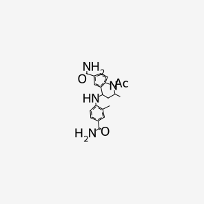 CC(=O)N1c2ccc(C(N)=O)cc2C(Nc2ccc(C(N)=O)cc2C)CC1C